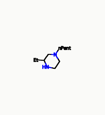 [CH2]CC1CN(CCCCC)CCN1